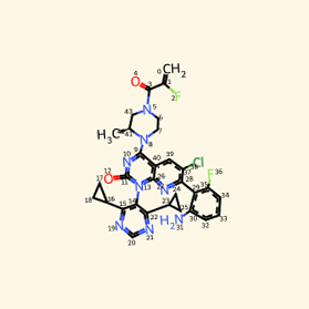 C=C(F)C(=O)N1CCN(c2nc(=O)n(-c3c(C4CC4)ncnc3C3CC3)c3nc(-c4c(N)cccc4F)c(Cl)cc23)[C@@H](C)C1